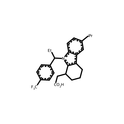 CCC(c1ccc(C(F)(F)F)cc1)n1c2c(c3cc(C(C)C)ccc31)CCCC2CC(=O)O